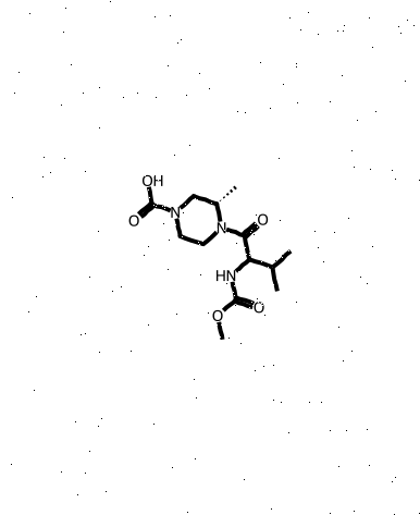 COC(=O)NC(C(=O)N1CCN(C(=O)O)C[C@@H]1C)C(C)C